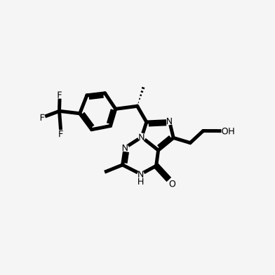 Cc1nn2c([C@@H](C)c3ccc(C(F)(F)F)cc3)nc(CCO)c2c(=O)[nH]1